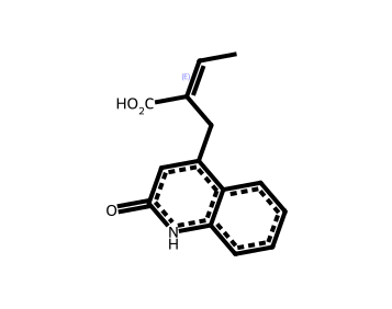 C/C=C(\Cc1cc(=O)[nH]c2ccccc12)C(=O)O